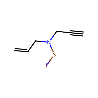 C#CCN(CC=C)SI